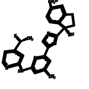 Cc1cc(Nc2cc([C@H](C)F)ccn2)nc(-c2cnc([C@@]3(O)CCc4cc(C(=O)O)ccc43)s2)c1